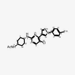 CC(=O)N[C@H]1CC[C@H](Nc2ncc(Cl)c(-c3cnn(-c4ccc(F)cc4)c3)n2)CC1